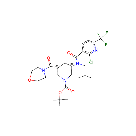 CC(C)CN(C(=O)c1ccc(C(F)(F)F)nc1Cl)[C@H]1C[C@@H](C(=O)N2CCOCC2)CN(C(=O)OC(C)(C)C)C1